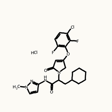 Cl.Cn1ccc(NC(=O)C(CC2CCCCC2)N2CC(Oc3c(F)ccc(Cl)c3F)=CC2=O)n1